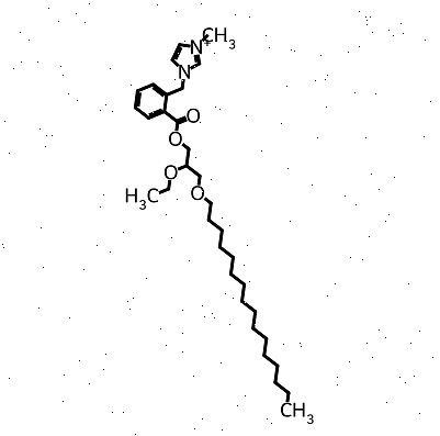 CCCCCCCCCCCCCCCCOCC(COC(=O)c1ccccc1Cn1cc[n+](C)c1)OCC